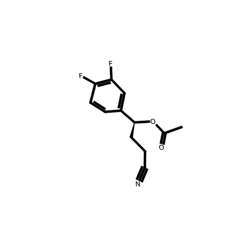 CC(=O)O[C@@H](CCC#N)c1ccc(F)c(F)c1